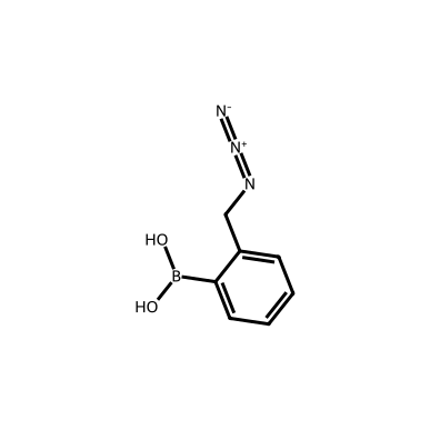 [N-]=[N+]=NCc1ccccc1B(O)O